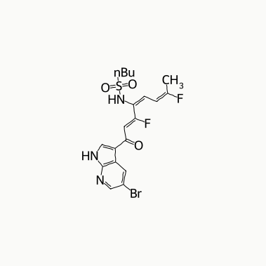 CCCCS(=O)(=O)NC(=C/C=C(\C)F)/C(F)=C/C(=O)c1c[nH]c2ncc(Br)cc12